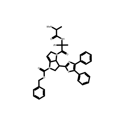 CNC(C)C(=O)NC(C)(C(=O)N1CC=C2C1C(c1nc(-c3ccccc3)c(-c3ccccc3)s1)CN2C(=O)OCc1ccccc1)C(C)C